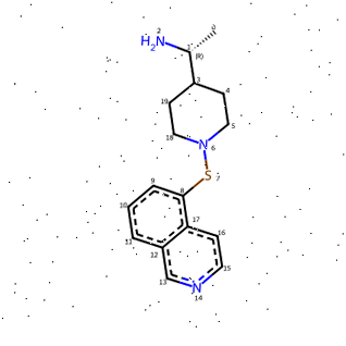 C[C@@H](N)C1CCN(Sc2cccc3cnccc23)CC1